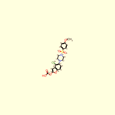 COc1ccc(S(=O)(=O)N2CCN(c3ccc4oc(OC(=O)O)cc4c3Cl)CC2)cc1